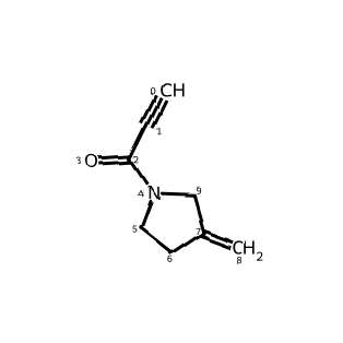 C#CC(=O)N1CCC(=C)C1